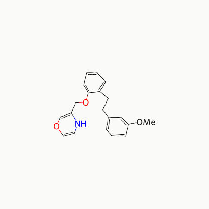 COc1cccc(CCc2ccccc2OCC2=COC=CN2)c1